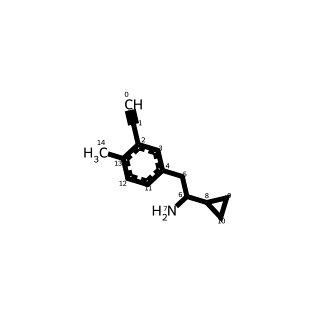 C#Cc1cc(CC(N)C2CC2)ccc1C